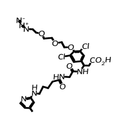 Cc1ccnc(NCCCCC(=O)NCC(=O)NC(CC(=O)O)c2cc(Cl)c(OCCOCCOCCN=[N+]=[N-])c(Cl)c2)c1